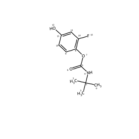 CC(C)(C)NC(=O)Oc1ccc(O)cc1F